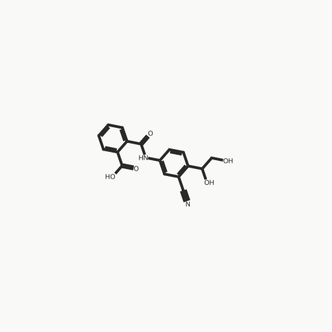 N#Cc1cc(NC(=O)c2ccccc2C(=O)O)ccc1C(O)CO